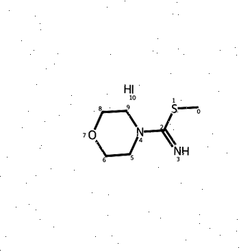 CSC(=N)N1CCOCC1.I